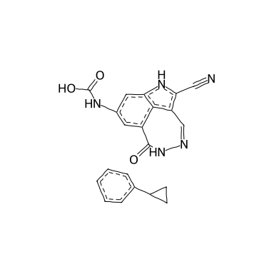 N#Cc1[nH]c2cc(NC(=O)O)cc3c2c1C=NNC3=O.c1ccc(C2CC2)cc1